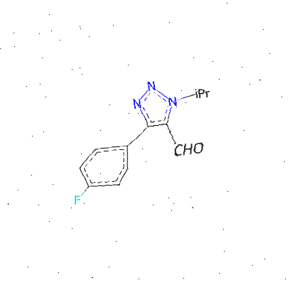 CC(C)n1nnc(-c2ccc(F)cc2)c1C=O